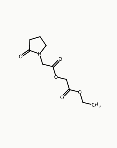 CCOC(=O)COC(=O)CN1CCCC1=O